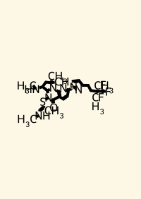 CN/C=C(\C)SN1C(=O)c2ccc(-n3ccc(CCC(C)(C)C(F)(F)F)n3)nc2N2C1C(NC)CC2(C)C